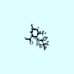 CC(=O)c1cc(C)cc(F)c1NC(=O)C(F)(F)F